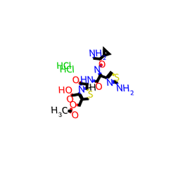 CC(=O)OCC1=C(C(=O)O)N2C(=O)[C@@H](NC(=O)C(=NOC(CN)C3CC3)c3csc(N)n3)[C@H]2SC1.Cl.Cl